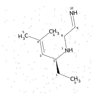 CC[C@@H](C=C(C)C)NCC=N